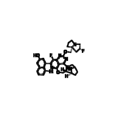 CCc1cccc2cc(O)cc(-c3nc4c5c(nc(OC[C@]67CCCN6C[C@H](F)C7)nc5c3F)N3CC5CC[C@H](N5)[C@@H]3CO4)c12